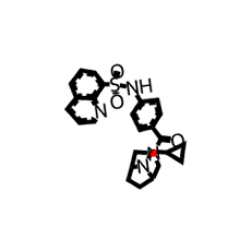 O=C(c1ccc(NS(=O)(=O)c2cccc3cccnc23)cc1)N1CC2CCC(C1)N2CC1CC1